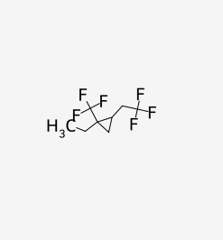 CCC1(C(F)(F)F)CC1CC(F)(F)F